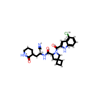 N#C[C@H](CC1CCCNC1=O)NC(=O)C1CC2(CCC2)CN1C(=O)c1cc2c(Cl)cccc2[nH]1